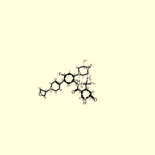 C[C@@H]1CN(c2cc(F)c(C3=CCN(C4COC4)CC3)cc2NC(=O)c2c[nH]c(=O)cc2C(F)(F)F)C[C@H](C)N1C